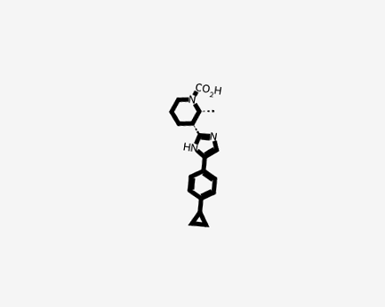 C[C@@H]1[C@H](c2ncc(-c3ccc(C4CC4)cc3)[nH]2)CCCN1C(=O)O